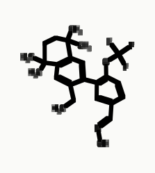 CCc1cc2c(cc1-c1cc(C=NO)ccc1OC(F)(F)F)C(C)(C)CCC2(C)C